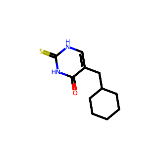 O=c1[nH]c(=S)[nH]cc1CC1CCCCC1